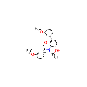 O[C@H](CN1c2cccc(-c3cccc(OC(F)(F)F)c3)c2OCC1[C@@H]1C=C(OC(F)(F)F)C=CC1)C(F)(F)F